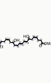 CC/C=C\C/C=C\C[C@H](O)\C=C/C=C/C=C/[C@H](O)C/C=C\CCC(=O)OC